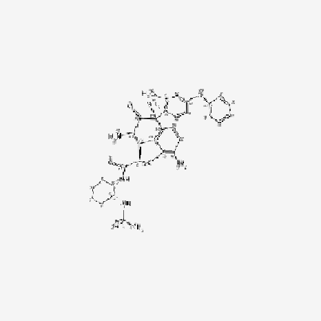 CC(=O)N[C@@H]1CCCC[C@@H]1NC(=O)c1sc2c(N)ccc3c2c1C(N)C(=O)C3(N)c1ccc(Oc2ccccc2)cc1C